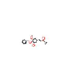 COc1cc(/C=C/C(=O)C2CC2)cc(OC)c1OCc1ccccc1